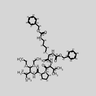 CCOC(OCC)[C@@H](NC(=O)[C@@H]1CCCN1C(=O)[C@@H](NC(=O)[C@H](CCCCNC(=O)OCc1ccccc1)NC(=O)OCc1ccccc1)C(C)C)C(C)C